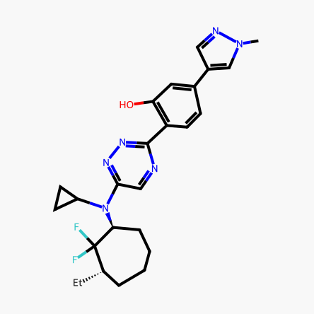 CC[C@H]1CCCC[C@H](N(c2cnc(-c3ccc(-c4cnn(C)c4)cc3O)nn2)C2CC2)C1(F)F